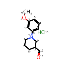 COc1cccc(N2CCCC(C=O)C2)c1.Cl